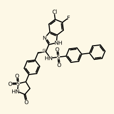 O=C1CC(c2ccc(C[C@H](NS(=O)(=O)c3ccc(-c4ccccc4)cc3)c3nc4cc(Cl)c(F)cc4[nH]3)cc2)S(=O)(=O)N1